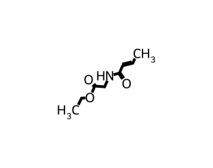 C/C=C/C(=O)NCC(=O)OCC